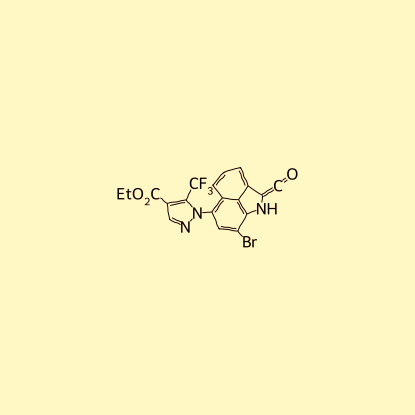 CCOC(=O)c1cnn(-c2cc(Br)c3[nH]c(=C=O)c4cccc2c34)c1C(F)(F)F